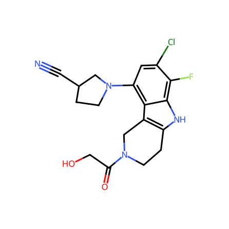 N#CC1CCN(c2cc(Cl)c(F)c3[nH]c4c(c23)CN(C(=O)CO)CC4)C1